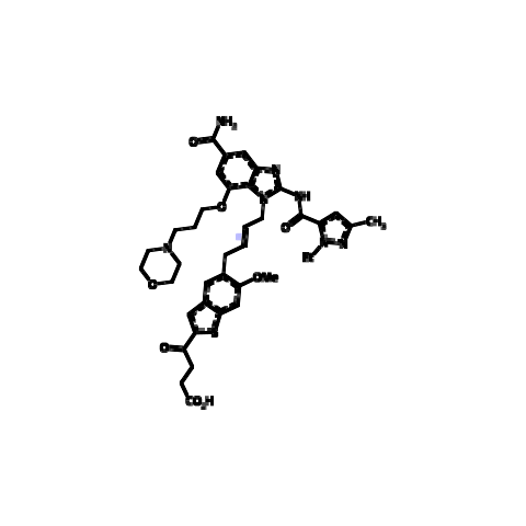 CCn1nc(C)cc1C(=O)Nc1nc2cc(C(N)=O)cc(OCCCN3CCOCC3)c2n1C/C=C/Cc1cc2cc(C(=O)CCC(=O)O)sc2cc1OC